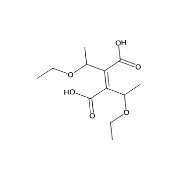 CCOC(C)C(C(=O)O)=C(C(=O)O)C(C)OCC